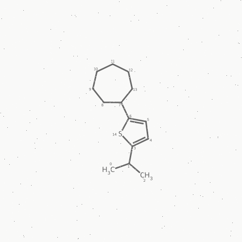 CC(C)c1ccc(C2CCCCCC2)s1